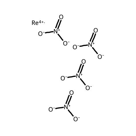 O=[N+]([O-])[O-].O=[N+]([O-])[O-].O=[N+]([O-])[O-].O=[N+]([O-])[O-].[Re+4]